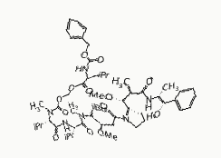 CC[C@H](C)[C@@H]([C@@H](CC(=O)N1CCC[C@H]1[C@H](OC)[C@@H](C)C(=O)N[C@H](C)[C@@H](O)c1ccccc1)OC)N(C)C(=O)[C@@H](NC(=O)[C@H](C(C)C)N(C)C(=O)OCOC(=O)[C@@H](NC(=O)OCc1ccccc1)C(C)C)C(C)C